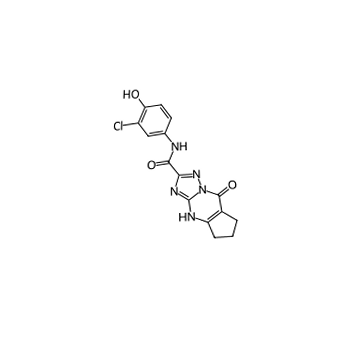 O=C(Nc1ccc(O)c(Cl)c1)c1nc2[nH]c3c(c(=O)n2n1)CCC3